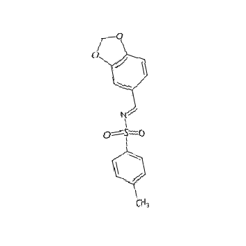 Cc1ccc(S(=O)(=O)N=Cc2ccc3c(c2)OCO3)cc1